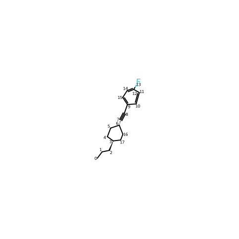 CCC[C@H]1CC[C@H](C#Cc2ccc(F)cc2)CC1